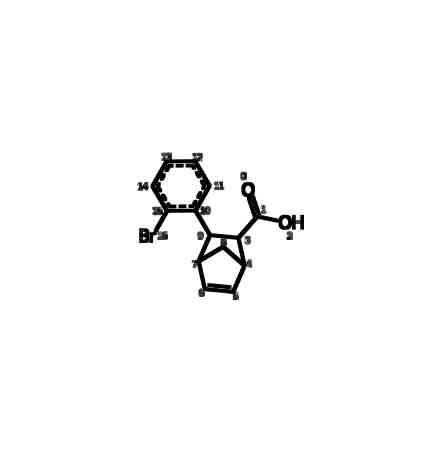 O=C(O)C1C2C=CC(C2)C1c1ccccc1Br